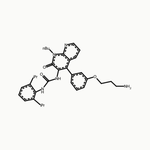 CCCCn1c(=O)c(NC(=O)Nc2c(C(C)C)cccc2C(C)C)c(-c2cccc(OCCCN)c2)c2cccnc21